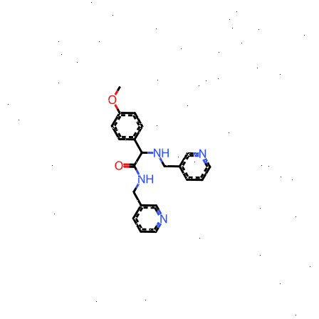 COc1ccc(C(NCc2cccnc2)C(=O)NCc2cccnc2)cc1